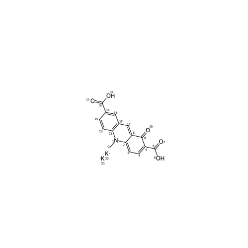 Cn1c2ccc(C(=O)O)c(=O)c-2cc2cc(C(=O)O)ccc21.[K].[K]